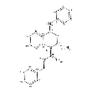 C[C@H]1C[C@H](Nc2ccccc2)c2ccccc2N1C(=O)OCc1ccccc1